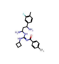 Cc1ccc(C(N)CC(N)N/C(=N\C(=O)c2ccc(C(F)(F)F)cc2)NC2CCC2)cc1F